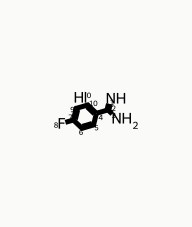 I.N=C(N)c1ccc(F)cc1